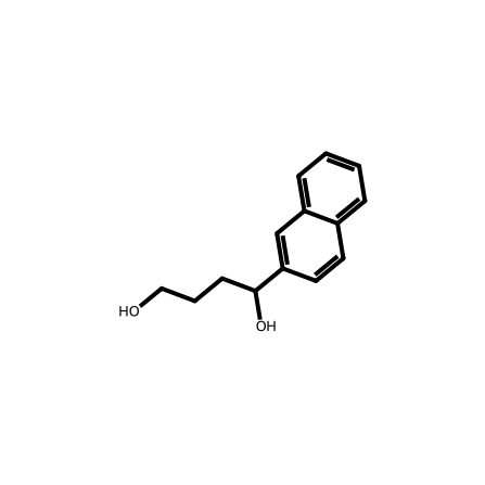 OCCCC(O)c1ccc2ccccc2c1